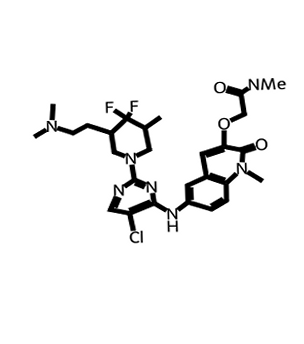 CNC(=O)COc1cc2cc(Nc3nc(N4CC(C)C(F)(F)C(CCN(C)C)C4)ncc3Cl)ccc2n(C)c1=O